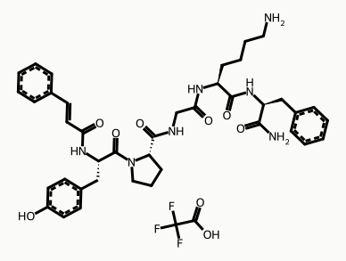 NCCCC[C@H](NC(=O)CNC(=O)[C@@H]1CCCN1C(=O)[C@H](Cc1ccc(O)cc1)NC(=O)/C=C/c1ccccc1)C(=O)N[C@@H](Cc1ccccc1)C(N)=O.O=C(O)C(F)(F)F